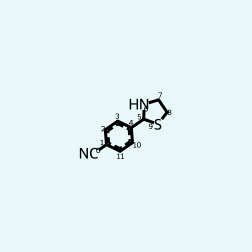 N#Cc1ccc(C2NCCS2)cc1